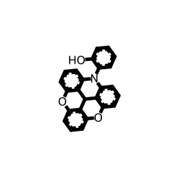 Oc1ccccc1N1c2cccc3c2C2c4c(cccc4Oc4cccc1c42)O3